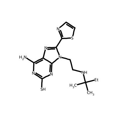 CCC(C)(C)NCCn1c(-c2nccs2)nc2c(N)nc(S)nc21